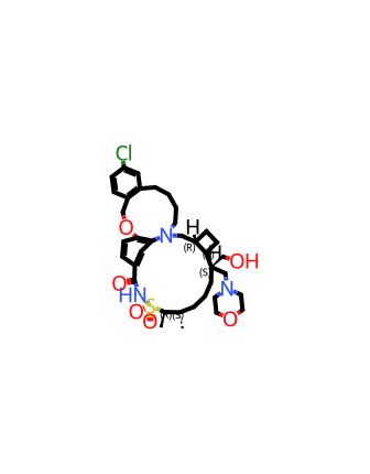 C[C@@H]1[C@@H](C)CCC[C@@](CO)(CN2CCOCC2)[C@@H]2CC[C@H]2CN2CCCCc3cc(Cl)ccc3COc3ccc(cc32)C(=O)NS1(=O)=O